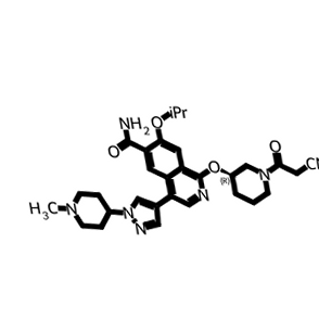 CC(C)Oc1cc2c(O[C@@H]3CCCN(C(=O)CC#N)C3)ncc(-c3cnn(C4CCN(C)CC4)c3)c2cc1C(N)=O